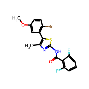 COc1ccc(Br)c(-c2sc(NC(=O)c3c(F)cccc3F)nc2C)c1